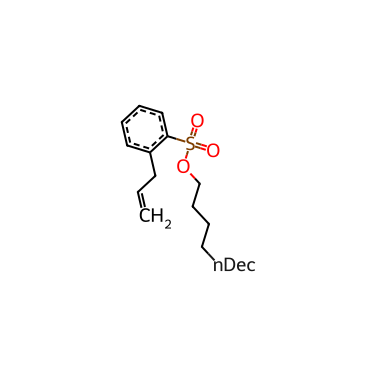 C=CCc1ccccc1S(=O)(=O)OCCCCCCCCCCCCCC